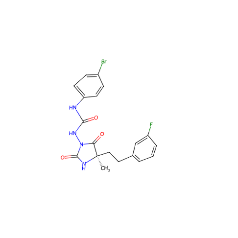 C[C@]1(CCc2cccc(F)c2)NC(=O)N(NC(=O)Nc2ccc(Br)cc2)C1=O